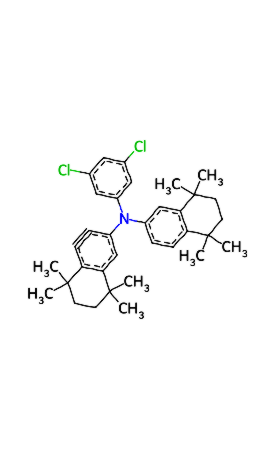 CC1(C)CCC(C)(C)c2cc(N(c3cc(Cl)cc(Cl)c3)c3ccc4c(c3)C(C)(C)CCC4(C)C)c#cc21